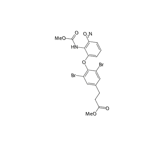 COC(=O)CCc1cc(Br)c(Oc2cccc([N+](=O)[O-])c2NC(=O)OC)c(Br)c1